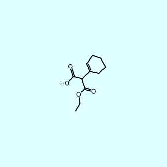 CCOC(=O)C(C(=O)O)C1=CCCCC1